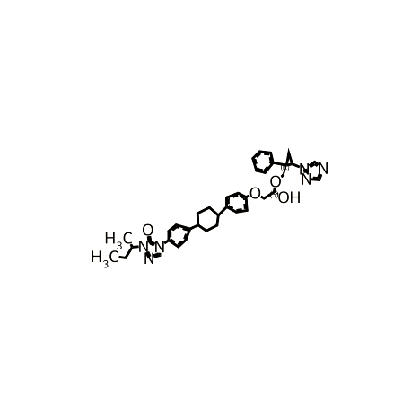 CCC(C)n1ncn(-c2ccc(C3CCC(c4ccc(OC[C@@H](O)OC[C@@]5(c6ccccc6)CC5n5cncn5)cc4)CC3)cc2)c1=O